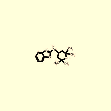 CC1(C)CC(Nc2nc3ccccc3s2)CC(C)(C)N1